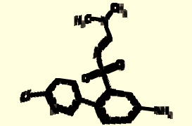 CN(C)C=NS(=O)(=O)c1cc(N)ccc1-c1ccc(Cl)nc1